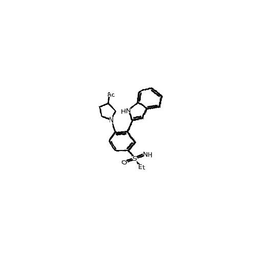 CC[S@@](=N)(=O)c1ccc(N2CCC(C(C)=O)C2)c(-c2cc3ccccc3[nH]2)c1